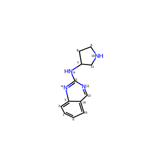 c1ccc2nc(NC3CCNC3)ncc2c1